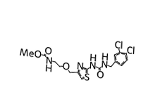 COC(=O)NCCOCc1csc(NC(=O)NCc2ccc(Cl)c(Cl)c2)n1